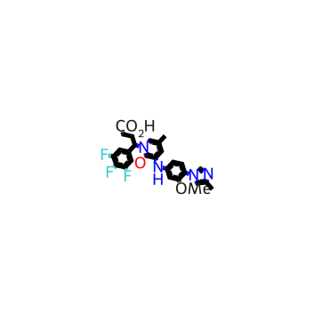 COc1cc(Nc2cc(C)cn(C(CCC(=O)O)c3cc(F)c(F)c(F)c3)c2=O)ccc1-n1cnc(C)c1